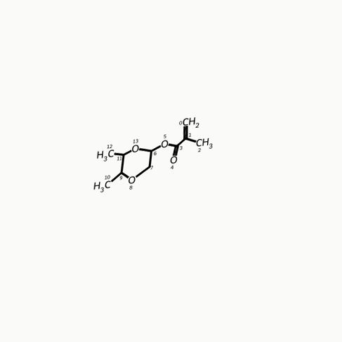 C=C(C)C(=O)OC1COC(C)C(C)O1